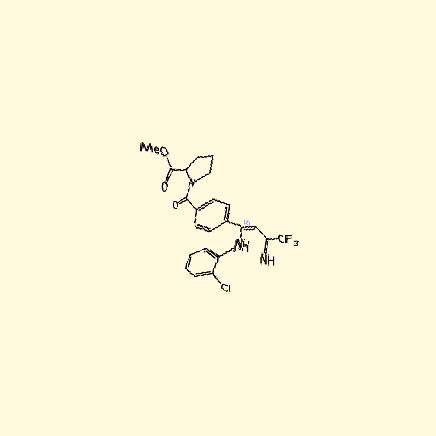 COC(=O)C1CCCN1C(=O)c1ccc(/C(=C/C(=N)C(F)(F)F)Nc2ccccc2Cl)cc1